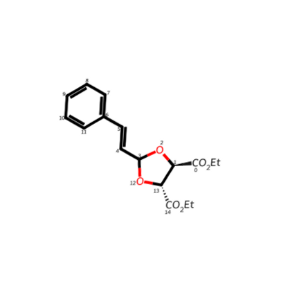 CCOC(=O)[C@@H]1OC(C=Cc2ccccc2)O[C@H]1C(=O)OCC